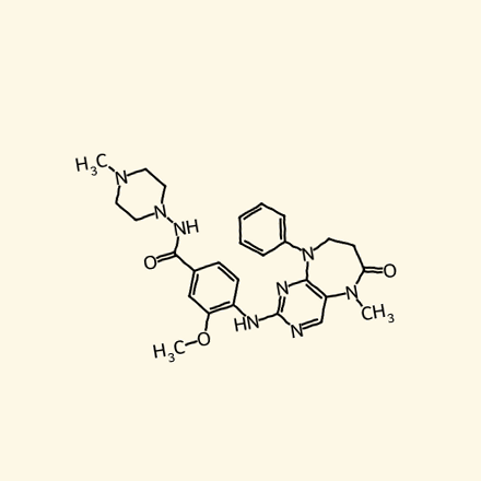 COc1cc(C(=O)NN2CCN(C)CC2)ccc1Nc1ncc2c(n1)N(c1ccccc1)CCC(=O)N2C